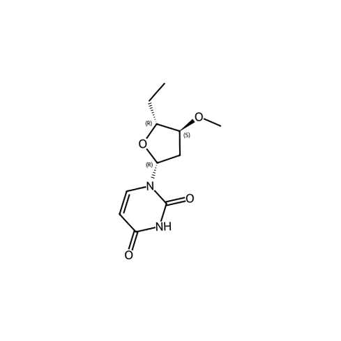 CC[C@H]1O[C@@H](n2ccc(=O)[nH]c2=O)C[C@@H]1OC